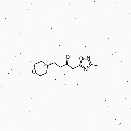 Cc1noc(CC(=O)CCC2CCOCC2)n1